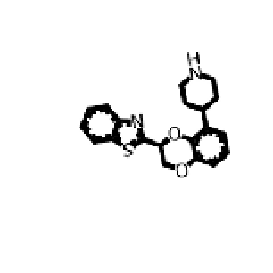 c1cc2c(c(C3CCNCC3)c1)OC(c1nc3ccccc3s1)CO2